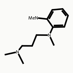 CNc1ccccc1N(C)CCCN(C)C